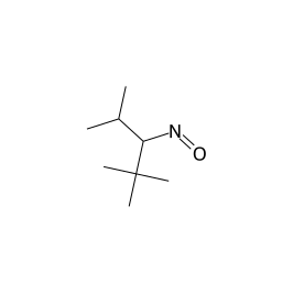 CC(C)C(N=O)C(C)(C)C